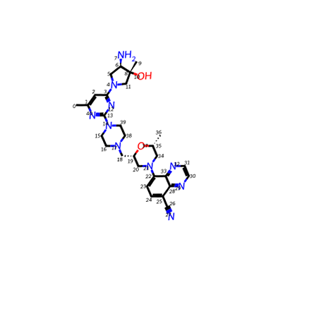 Cc1cc(N2C[C@@H](N)[C@](C)(O)C2)nc(N2CCN(C[C@H]3CN(c4ccc(C#N)c5nccnc45)C[C@@H](C)O3)CC2)n1